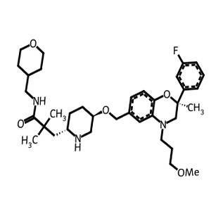 COCCCN1C[C@](C)(c2cccc(F)c2)Oc2ccc(CO[C@@H]3CC[C@@H](CC(C)(C)C(=O)NCC4CCOCC4)NC3)cc21